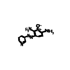 Nc1ccc(N=Nc2cccnc2)c(N)[n+]1[O-]